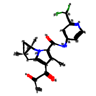 COC(=O)C(=O)c1c(C)c(C(=O)Nc2ccnc(C(F)F)c2)n2c1C[C@H]1C[C@H]12